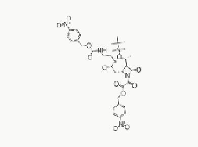 C[C@@H](O[Si](C)(C)C(C)(C)C)[C@H]1C(=O)N(C(=O)C(=O)OCc2ccc([N+](=O)[O-])cc2)[C@@H]1CC(=O)SCCNC(=O)OCc1ccc([N+](=O)[O-])cc1